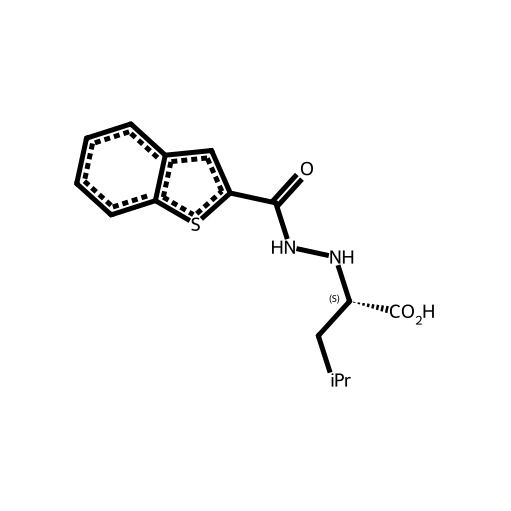 CC(C)C[C@H](NNC(=O)c1cc2ccccc2s1)C(=O)O